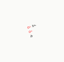 [O-2].[O-2].[Ti+4].[Zr]